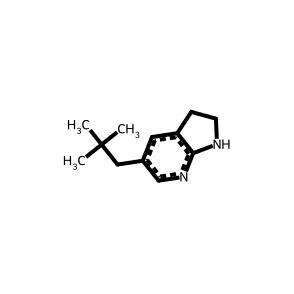 CC(C)(C)Cc1cnc2c(c1)CCN2